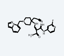 N#CCC1(N/C=C(\C(=N)Nc2ccnc(F)c2)C(N)=O)CCN(Cc2cccc3ccnn23)CC1